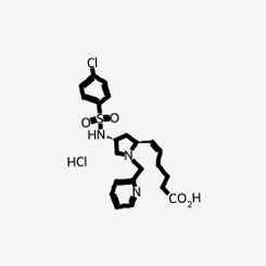 Cl.O=C(O)CCC/C=C\[C@@H]1C[C@@H](NS(=O)(=O)c2ccc(Cl)cc2)CN1Cc1ccccn1